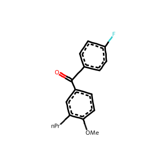 CCCc1cc(C(=O)c2ccc(F)cc2)ccc1OC